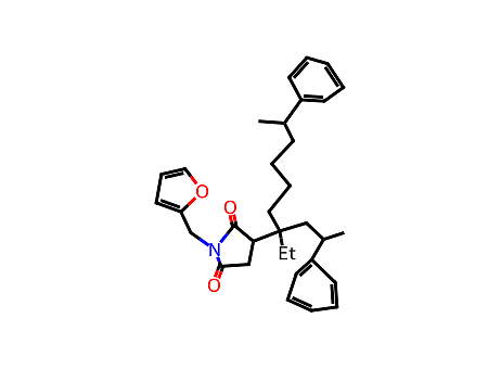 CCC(CCCCC(C)c1ccccc1)(CC(C)c1ccccc1)C1CC(=O)N(Cc2ccco2)C1=O